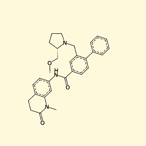 COC[C@@H]1CCCN1Cc1cc(C(=O)Nc2ccc3c(c2)N(C)C(=O)CC3)ccc1-c1ccccc1